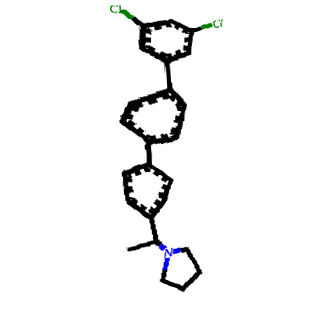 CC(c1ccc(-c2ccc(-c3cc(Cl)cc(Cl)c3)cc2)cc1)N1CCCC1